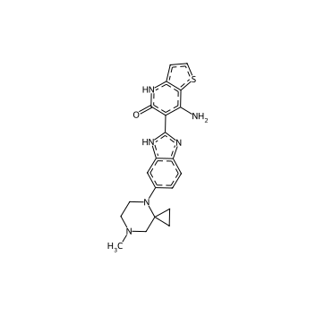 CN1CCN(c2ccc3nc(-c4c(N)c5sccc5[nH]c4=O)[nH]c3c2)C2(CC2)C1